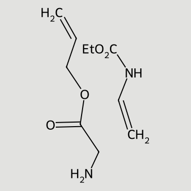 C=CCOC(=O)CN.C=CNC(=O)OCC